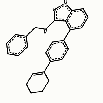 C1=C(c2ccc(-c3cccc4[nH]nc(NCc5ccccc5)c34)cc2)CCCC1